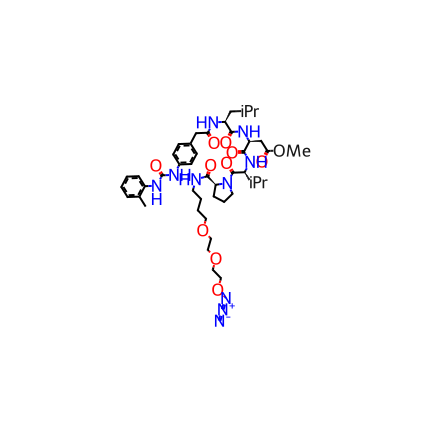 COC(=O)C[C@H](NC(=O)[C@H](CC(C)C)NC(=O)Cc1ccc(NC(=O)Nc2ccccc2C)cc1)C(=O)N[C@H](C(=O)N1CCC[C@H]1C(=O)NCCCCOCCOCCON=[N+]=[N-])C(C)C